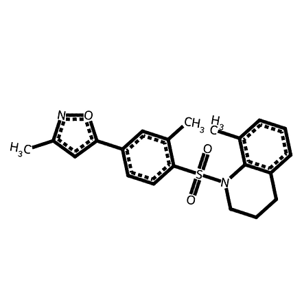 Cc1cc(-c2ccc(S(=O)(=O)N3CCCc4cccc(C)c43)c(C)c2)on1